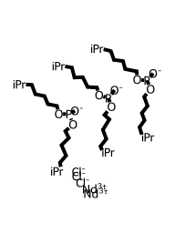 CC(C)CCCCCOP([O-])OCCCCCC(C)C.CC(C)CCCCCOP([O-])OCCCCCC(C)C.CC(C)CCCCCOP([O-])OCCCCCC(C)C.[Cl-].[Cl-].[Cl-].[Nd+3].[Nd+3]